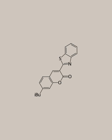 CCC(C)c1ccc2cc(-c3nc4ccccc4s3)c(=O)oc2c1